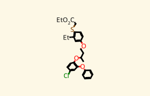 CCOC(=O)CSc1ccc(OCCC(C)Oc2ccc(Cl)cc2Oc2ccccc2)cc1CC